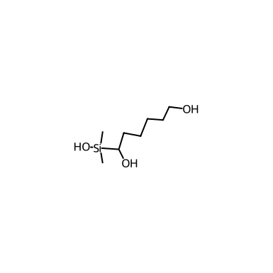 C[Si](C)(O)C(O)CCCCCO